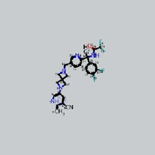 C=C/C(C#N)=C\C(=C/N)N1CC2(CN(Cc3ccc(C(C)(NC(=O)C(F)F)c4ccc(F)c(F)c4)nc3)C2)C1